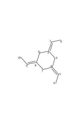 CC=C1CC(=CC)CC(=CC)C1